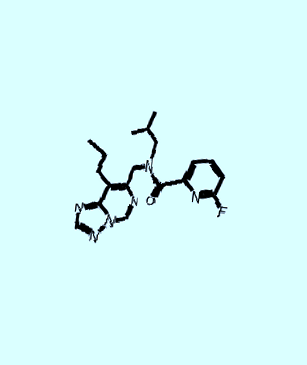 CCCc1c(CN(CC(C)C)C(=O)c2cccc(F)n2)ncn2ncnc12